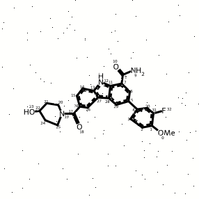 COc1ccc(-c2cc(C(N)=O)c3[nH]c4ccc(C(=O)N5CCC(O)CC5)cc4c3c2)cc1F